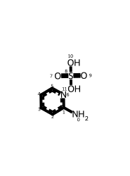 Nc1ccccn1.O=S(=O)(O)O